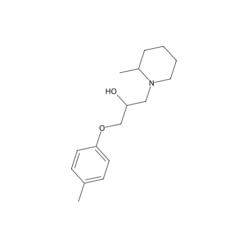 Cc1ccc(OCC(O)CN2CCCCC2C)cc1